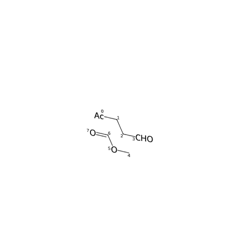 CC(=O)CCC=O.COC=O